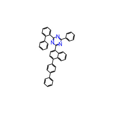 c1ccc(-c2ccc(-c3ccc(-c4nc(-c5ccccc5)nc(-c5ccccc5-c5ccccc5)n4)c4ccccc34)cc2)cc1